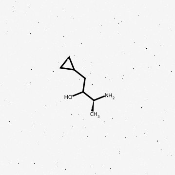 C[C@H](N)C(O)CC1CC1